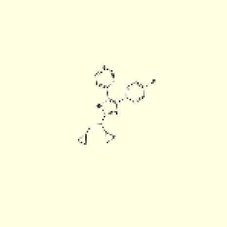 Fc1ccc(-c2nc(C(CC3CC3)C3CC3)[nH]c2-c2ccncc2)cc1